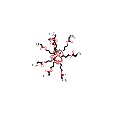 C=CC(=O)OCCC[Si]12O[Si]3(CCCOC(=O)C=C)O[Si]4(CCCOC(=O)C=C)O[Si](CCCOC(=O)C=C)(O1)O[Si]1(CCCOC(=O)C=C)O[Si](CCCOC(=O)C=C)(O2)O[Si](CCCOC(=O)C=C)(O3)O[Si](CCCOC(=O)C=C)(O4)O1